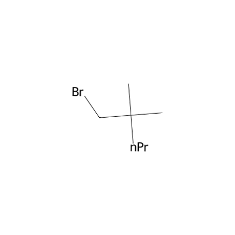 CCCC(C)(C)CBr